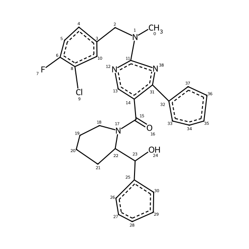 CN(Cc1ccc(F)c(Cl)c1)c1ncc(C(=O)N2CCCCC2C(O)c2ccccc2)c(-c2ccccc2)n1